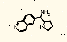 NC(c1ccc2cnccc2c1)C1CCCN1